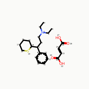 CCN(CC)CCC(c1ccccc1)C1CCCCS1.O=C(O)C=CC(=O)O